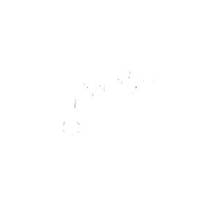 C=C(C)C(=O)N1CCN(C(=O)NC(C)C#Cc2ccc(Cl)c(Cl)c2)CC1